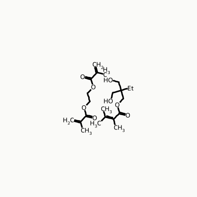 C=C(C)C(=O)OCCOC(=O)C(=C)C.CCC(CO)(CO)COC(=O)C(C)=C(C)C